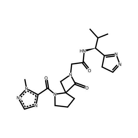 CC(C)[C@H](NC(=O)CN1CC2(CCCN2C(=O)c2ncnn2C)C1=O)C1=NN=CC1